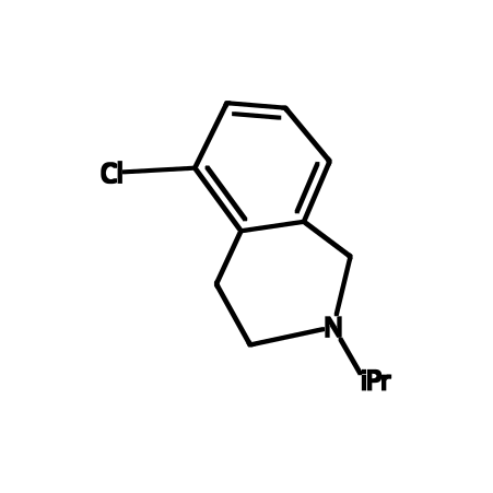 CC(C)N1CCc2c(Cl)cccc2C1